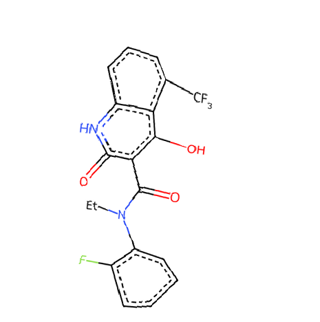 CCN(C(=O)c1c(O)c2c(C(F)(F)F)cccc2[nH]c1=O)c1ccccc1F